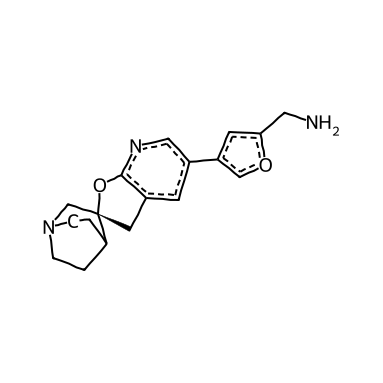 NCc1cc(-c2cnc3c(c2)C[C@@]2(CN4CCC2CC4)O3)co1